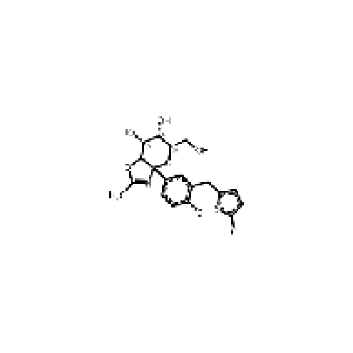 CC1=NC2(c3ccc(Cl)c(Cc4ccc(Cl)s4)c3)O[C@H](CO)[C@@H](O)[C@H](O)C2O1